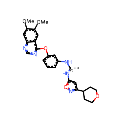 COc1cc2ncnc(Oc3cccc(N[C@H](C)Nc4cc(C5CCOCC5)no4)c3)c2cc1OC